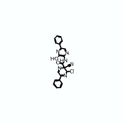 N#CC1(C(=O)Nc2ncc(-c3ccccc3)nc2O)N=CC(c2ccccc2)=NC1Cl